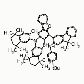 Cc1cc2c(cc1N1c3cc4c(cc3Bc3c1cc1c(oc5ccccc51)c3-c1cc3c(cc1Nc1ccc(C(C)(C)C)cc1)C(C)(C)c1ccccc1-3)C(C)(C)CCC4(C)C)C(C)(C)CCC2(C)C